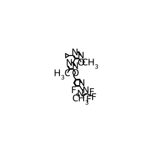 CCn1cc(C(F)(F)F)nc1-c1ncc(COc2nc(-c3c(OC)ncnc3C3CC3)ncc2C)cc1F